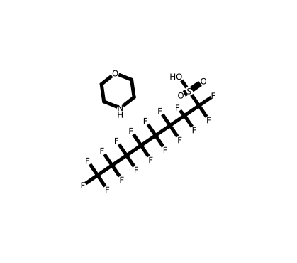 C1COCCN1.O=S(=O)(O)C(F)(F)C(F)(F)C(F)(F)C(F)(F)C(F)(F)C(F)(F)C(F)(F)C(F)(F)F